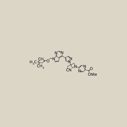 COC(=O)c1cnc(N2CC(CC#N)(n3cc(-c4ncnc5c4ccn5COCCS(C)(C)C)cn3)C2)cn1